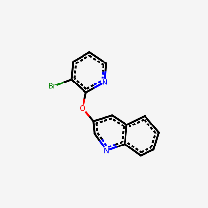 Brc1cccnc1Oc1cnc2ccccc2c1